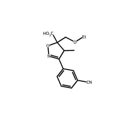 CCOCC1(C(=O)O)ON=C(c2cccc(C#N)c2)C1C